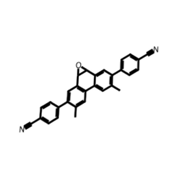 Cc1cc2c(cc1-c1ccc(C#N)cc1)C1OC1c1cc(-c3ccc(C#N)cc3)c(C)cc1-2